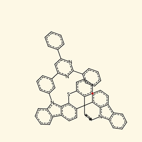 c1ccc(-c2cc(-c3cccc(-n4c5ccccc5c5ccc6c(c54)Sc4ccccc4C64c5ccccc5-n5c6ccccc6c6cccc4c65)c3)nc(-c3ccccc3)n2)cc1